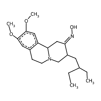 CCC(CC)CC1CN2CCc3cc(OC)c(OC)cc3C2CC1=NO